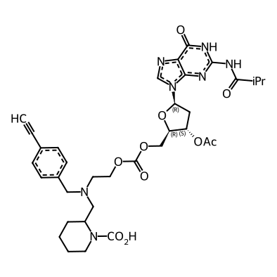 C#Cc1ccc(CN(CCOC(=O)OC[C@H]2O[C@@H](n3cnc4c(=O)[nH]c(NC(=O)C(C)C)nc43)C[C@@H]2OC(C)=O)CC2CCCCN2C(=O)O)cc1